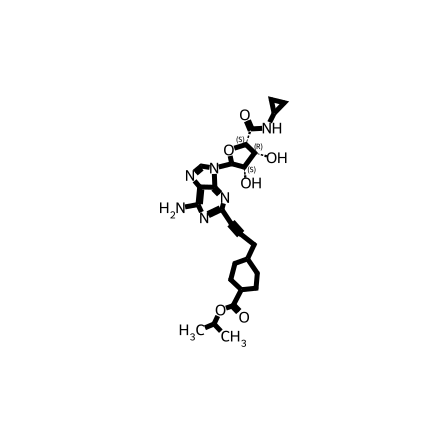 CC(C)OC(=O)C1CCC(CC#Cc2nc(N)c3ncn(C4O[C@H](C(=O)NC5CC5)[C@H](O)[C@@H]4O)c3n2)CC1